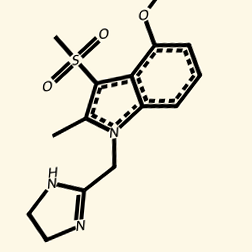 COc1cccc2c1c(S(C)(=O)=O)c(C)n2CC1=NCCN1